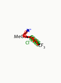 COC(COCCCCCCC(F)(F)C(F)(F)C(F)(F)C(F)(F)C(F)(F)C(F)(F)C(F)(F)C(F)(F)C(F)(F)C(F)(F)C(F)(F)C(F)(F)F)COCCOCC[N+](C)(C)C.[Cl-]